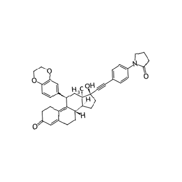 C[C@]12C[C@H](c3ccc4c(c3)OCCO4)C3=C4CCC(=O)C=C4CC[C@H]3[C@@H]1CC[C@@]2(O)C#Cc1ccc(N2CCCC2=O)cc1